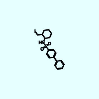 O=S(=O)(NC1CCCCC1CI)c1ccc(-c2ccccc2)cc1